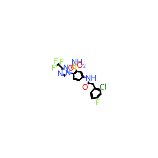 NS(=O)(=O)c1cc(NC(=O)Cc2ccc(F)cc2Cl)ccc1-n1cnc(C(F)(F)F)n1